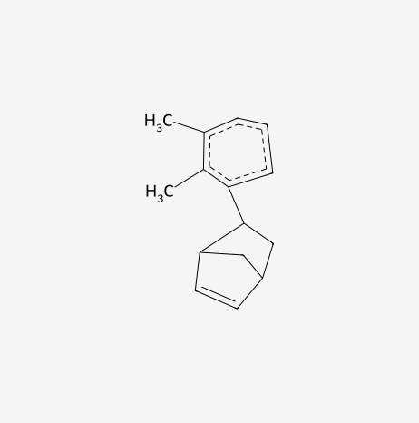 Cc1cccc(C2CC3C=CC2C3)c1C